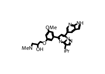 CNCC(O)COc1cc(OC)cc(-c2cc(-c3cnc4[nH]ccc4c3)n3ncc(C(C)C)c3n2)c1